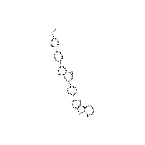 ISc1ccc(-c2ccc(-c3ccc4cc(-c5ccc(-c6ccc7sc8ncccc8c7c6)cc5)cnc4c3)cc2)cc1